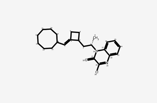 C[C@@H](CC1CCC1=CC1CCCCCCC1)n1c(=O)c(Cl)nc2ccccc21